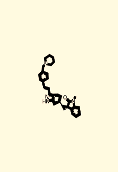 CN1C(=O)[C@@]2(C[C@H]2c2ccc3c(C=Cc4ccc(CN5CCCCC5)cc4)n[nH]c3c2)c2ccccc21